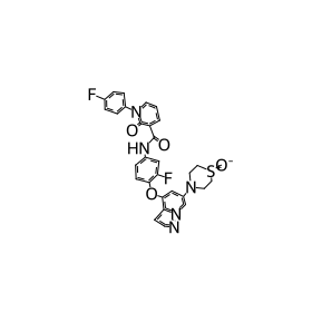 O=C(Nc1ccc(Oc2cc(N3CC[S+]([O-])CC3)cn3nccc23)c(F)c1)c1cccn(-c2ccc(F)cc2)c1=O